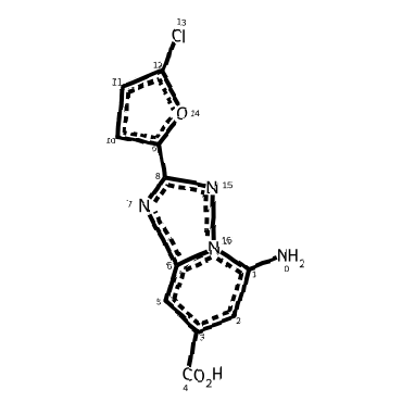 Nc1cc(C(=O)O)cc2nc(-c3ccc(Cl)o3)nn12